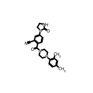 Cc1ccc(N2CCN(C(=O)c3ccc(N4CCNC4=O)cc3C#N)CC2)c(C)c1